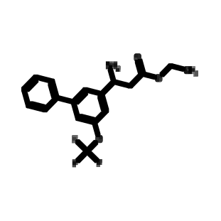 CCOC(=O)CC(N)c1cc(OC(F)(F)F)cc(-c2ccccc2)c1